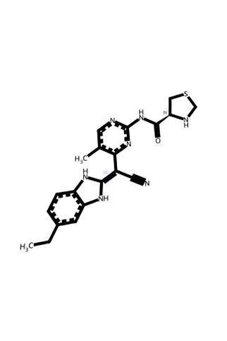 CCc1ccc2c(c1)N/C(=C(\C#N)c1nc(NC(=O)[C@H]3CSCN3)ncc1C)N2